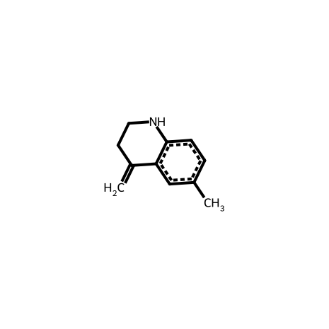 C=C1CCNc2ccc(C)cc21